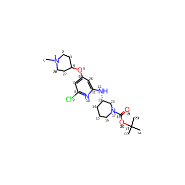 CN1CCC(Oc2cc(Cl)nc(N[C@H]3CCCN(C(=O)OC(C)(C)C)C3)c2)CC1